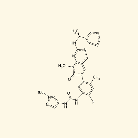 Cc1cc(F)c(NC(=O)Nc2cnn(C(C)(C)C)c2)cc1-c1cc2cnc(N[C@@H](C)c3ccccc3)nc2n(C)c1=O